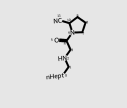 CCCCCCCCNCC(=O)N1CCCC1C#N